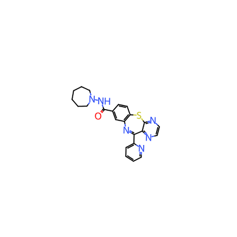 O=C(NN1CCCCCC1)c1ccc2c(c1)N=C(c1ccccn1)c1nccnc1S2